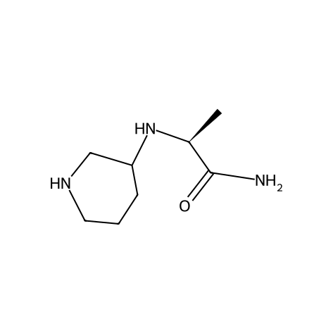 C[C@H](NC1CCCNC1)C(N)=O